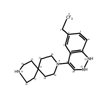 FC(F)(F)Cc1ccc2c(c1)C(N1CCC3(CCNCC3)CC1)=CNN2